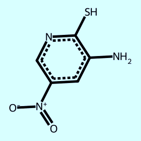 Nc1cc([N+](=O)[O-])cnc1S